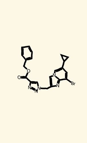 O=C(OCc1ccccc1)c1cn(Cc2cn3cc(C4CC4)cc(Br)c3n2)nn1